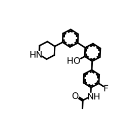 CC(=O)Nc1ccc(-c2cccc(-c3cccc(C4CCNCC4)c3)c2O)cc1F